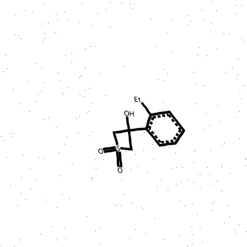 CCc1ccccc1C1(O)CS(=O)(=O)C1